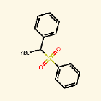 CCCCC(c1ccccc1)S(=O)(=O)c1ccccc1